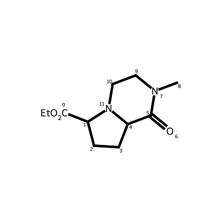 CCOC(=O)C1CCC2C(=O)N(C)CCN12